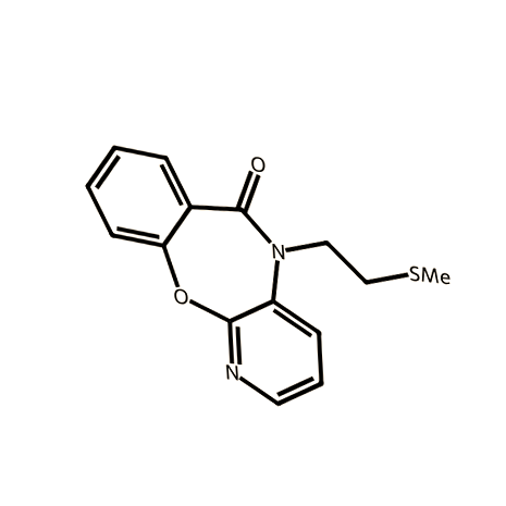 CSCCN1C(=O)c2ccccc2Oc2ncccc21